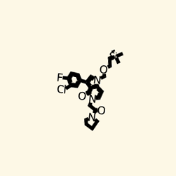 C[Si](C)(C)CCOCn1cc(-c2ccc(F)c(Cl)c2)c2c(=O)n(CC(=O)N3CCCC3)ccc21